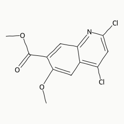 COC(=O)c1cc2nc(Cl)cc(Cl)c2cc1OC